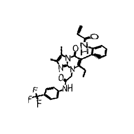 C=CC(=O)Nc1ccccc1-c1c(CC)n(CC(=O)Nc2ccc(C(F)(F)F)cc2)c2nc(C)c(C)n2c1=O